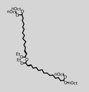 CCCCCCCCOC(CCCCCCCCCCCC=CC(OCC)OC(C=CCCCCCCCCCCCC(OCCCCCCCC)OCCCCCCCC)OCC)OCCCCCCCC